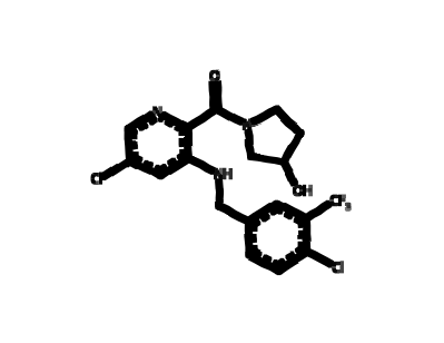 O=C(c1ncc(Cl)cc1NCc1ccc(Cl)c(C(F)(F)F)c1)N1CCC(O)C1